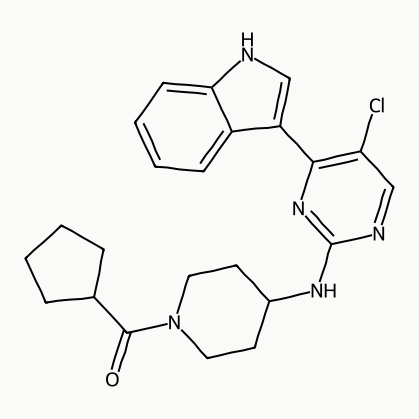 O=C(C1CCCC1)N1CCC(Nc2ncc(Cl)c(-c3c[nH]c4ccccc34)n2)CC1